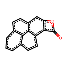 O=c1oc2cc3ccc4cccc5ccc(c12)c3c45